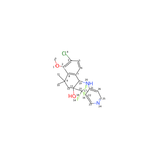 COc1c(Cl)ccc2c1C(C)(C)CC(O)(C(F)(F)F)C2Nc1ccncc1